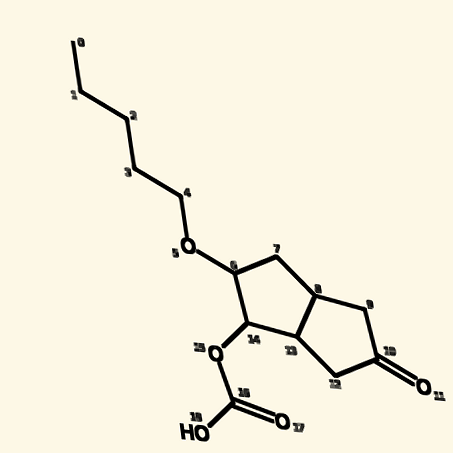 CCCCCOC1CC2CC(=O)CC2C1OC(=O)O